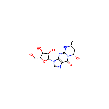 C[C@H]1C[C@H](O)n2c(nc3c(ncn3[C@@H]3O[C@H](CO)[C@@H](O)[C@H]3O)c2=O)N1